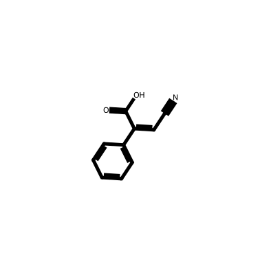 N#CC=C(C(=O)O)c1ccccc1